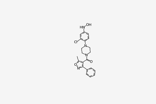 Cc1onc(-c2ccccc2)c1C(=O)N1CCN(c2ccc(NO)cc2Cl)CC1